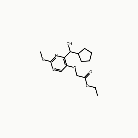 CCOC(=O)COc1cnc(SC)nc1C(O)C1CCCC1